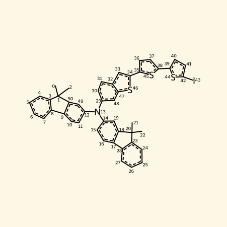 CC1(C)c2ccccc2-c2ccc(N(c3ccc4c(c3)C(C)(C)c3ccccc3-4)c3ccc4cc(-c5ccc(-c6ccc(I)s6)s5)sc4c3)cc21